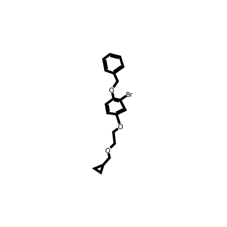 Brc1cc(OCCOCC2CC2)ccc1OCc1ccccc1